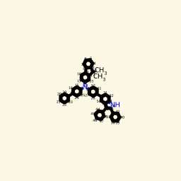 CC1(C)c2ccccc2-c2ccc(N(c3ccc(-c4ccccc4)cc3)c3ccc(-c4ccc5[nH]c(-c6ccccc6)c(-c6ccccc6)c5c4)cc3)cc21